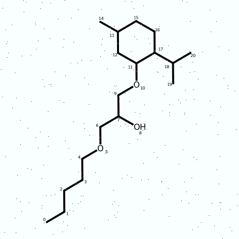 CCCCCOCC(O)COC1CC(C)CCC1C(C)C